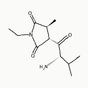 CCN1C(=O)[C@@H](C(=O)[C@@H](N)C(C)C)[C@H](C)C1=O